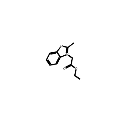 CCOC(=O)C[n+]1c(C)[te]c2ccccc21